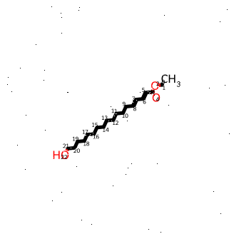 CCOC(=O)C=CC=CCCCCCCCCCCCCCO